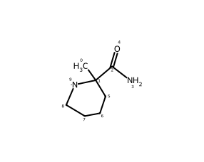 CC1(C(N)=O)CCCC[N]1